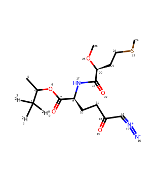 [2H]C([2H])([2H])C(C)OC(=O)[C@H](CCC(=O)C=[N+]=[N-])NC(=O)[C@H](CCSC)OC